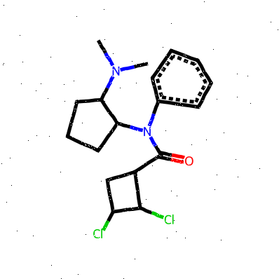 CN(C)C1CCCC1N(C(=O)C1CC(Cl)C1Cl)c1ccccc1